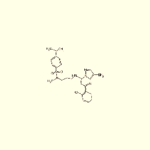 Bc1cnn2c1N=C(C1=C(Cl)C=CCC1)CC2NCCCN(C)S(=O)(=O)c1ccc(C(C)C)cc1